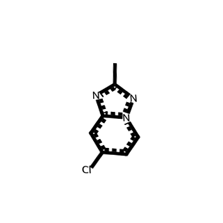 Cc1nc2cc(Cl)ccn2n1